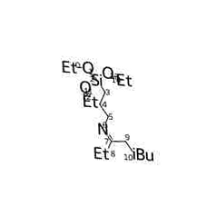 CCO[Si](CCCN=C(CC)CC(C)CC)(OCC)OCC